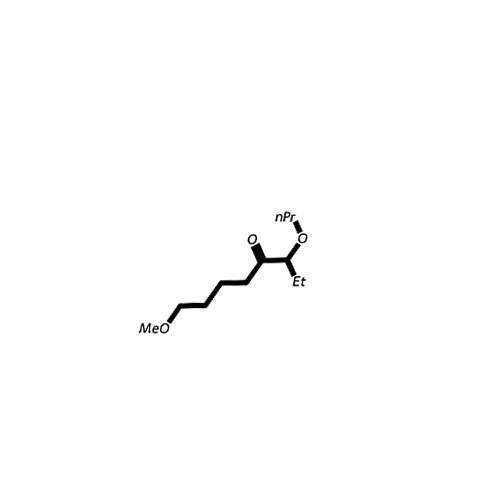 CCCOC(CC)C(=O)CCCCOC